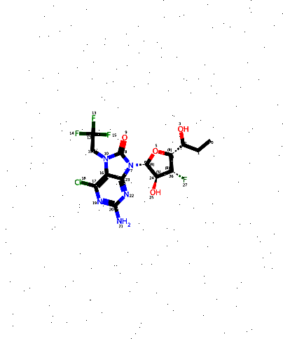 CCC(O)[C@H]1O[C@@H](n2c(=O)n(CC(F)(F)F)c3c(Cl)nc(N)nc32)[C@H](O)[C@H]1F